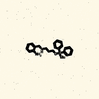 CC(C)(C)[Si](OCCCNCc1ccccc1N)(c1ccccc1)c1ccccc1